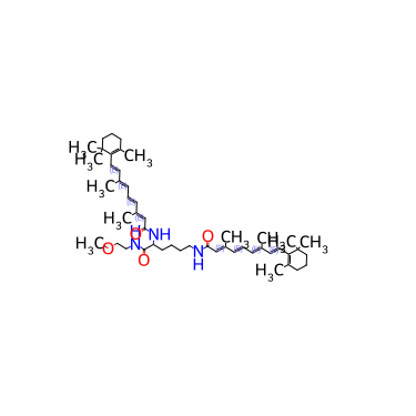 COCCNC(=O)C(CCCCNC(=O)/C=C(C)/C=C/C=C(C)/C=C/C1=C(C)CCCC1(C)C)NC(=O)/C=C(C)/C=C/C=C(C)/C=C/C1=C(C)CCCC1(C)C